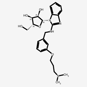 CN(C)CCCOc1cccc(CNc2nc3ccccc3n2[C@@H]2O[C@H](CO)[C@@H](O)[C@H]2O)c1